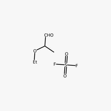 CCOC(C)C=O.O=S(=O)(F)F